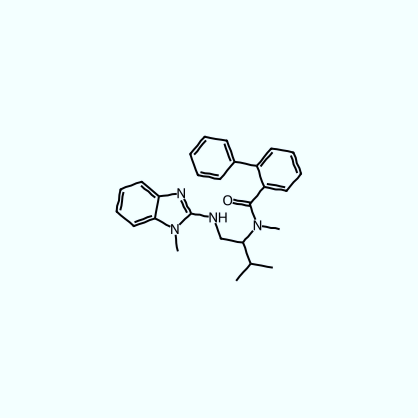 CC(C)C(CNc1nc2ccccc2n1C)N(C)C(=O)c1ccccc1-c1ccccc1